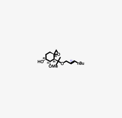 CCCC/C=C/COC(C)(C)[C@H]1[C@H](OC)[C@H](O)CC[C@]12CO2